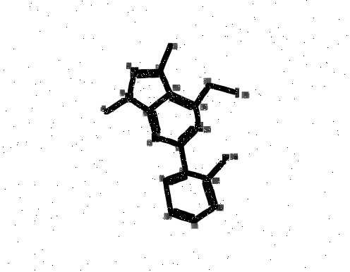 Cc1nn(C)c2nc(-c3ccccc3F)nc(CI)c12